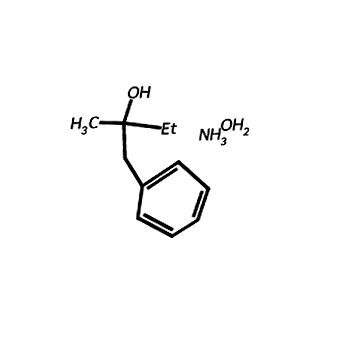 CCC(C)(O)Cc1ccccc1.N.O